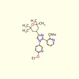 CCOc1ccc(-n2cc(C3CC(C)(C)OC(C)(C)C3)nc2-c2cccnc2OC)cn1